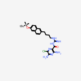 CC(C)(C)[Si](C)(C)Oc1ccc2cc(CCCCNC(=N)NC(=O)c3nc(Cl)c(N)nc3N)ccc2c1